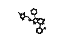 Cn1cnc(COc2nc3c(-c4ccccc4F)nncn3c2-c2ccccc2)n1